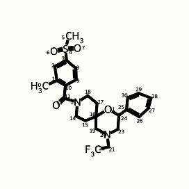 Cc1cc(S(C)(=O)=O)ccc1C(=O)N1CCC2(CC1)CN(CC(F)(F)F)CC(c1ccccc1)O2